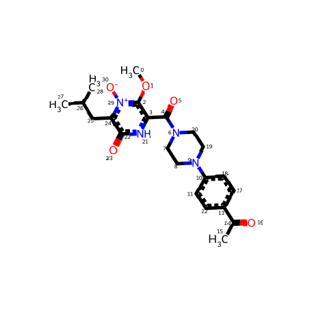 COc1c(C(=O)N2CCN(c3ccc(C(C)=O)cc3)CC2)[nH]c(=O)c(CC(C)C)[n+]1[O-]